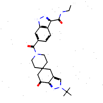 CCNC(=O)c1n[nH]c2cc(C(=O)N3CCC4(CC3)CC(=O)c3nn(C(C)(C)C)cc3C4)ccc12